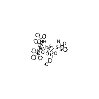 COc1ccc(COC(=O)C2=C(CSc3sc4ccccc4c(=O)c3C#N)CS[C@@H]3C(NC(=O)/C(=N\OC(c4ccccc4)(c4ccccc4)c4ccccc4)c4csc(NC(c5ccccc5)(c5ccccc5)c5ccccc5)n4)C(=O)N23)cc1